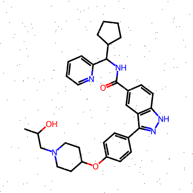 CC(O)CN1CCC(Oc2ccc(-c3n[nH]c4ccc(C(=O)NC(c5ccccn5)C5CCCC5)cc34)cc2)CC1